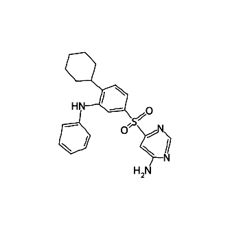 Nc1cc(S(=O)(=O)c2ccc(C3CCCCC3)c(Nc3ccccc3)c2)ncn1